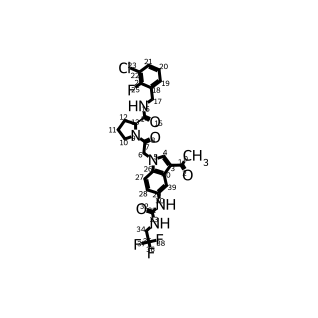 CC(=O)c1cn(CC(=O)N2CCC[C@H]2C(=O)NCc2cccc(Cl)c2F)c2ccc(NC(=O)NCC(F)(F)F)cc12